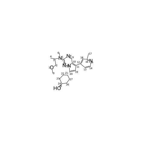 COCC(C)N(C)c1ncc2c(-c3ccnc(C)c3)cc([C@H]3CC[C@H](O)CC3)n2n1